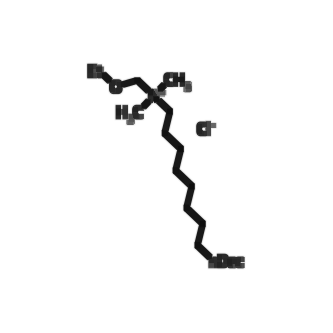 CCCCCCCCCCCCCCCCCC[N+](C)(C)COCC.[Cl-]